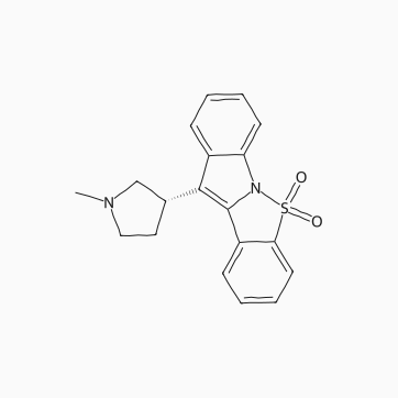 CN1CC[C@@H](c2c3n(c4ccccc24)S(=O)(=O)c2ccccc2-3)C1